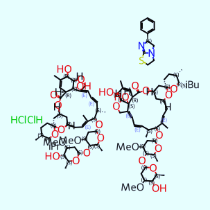 CC[C@H](C)[C@H]1O[C@]2(CC[C@@H]1C)C[C@@H]1C[C@@H](C/C=C(\C)[C@@H](O[C@H]3C[C@H](OC)[C@@H](O[C@H]4C[C@H](OC)[C@@H](O)[C@H](C)O4)[C@H](C)O3)[C@@H](C)/C=C/C=C3\CO[C@@H]4[C@H](O)C(C)=C[C@@H](C(=O)O1)[C@]34O)O2.CO[C@H]1C[C@H](O[C@H]2[C@H](C)O[C@@H](O[C@@H]3/C(C)=C/C[C@@H]4C[C@@H](C[C@]5(CC[C@H](C)[C@@H](C(C)C)O5)O4)OC(=O)[C@@H]4C=C(C)[C@@H](O)[C@H]5OC/C(=C\C=C\[C@@H]3C)[C@]54O)C[C@@H]2OC)O[C@@H](C)[C@@H]1O.Cl.Cl.c1ccc([C@H]2CN3CCSC3=N2)cc1